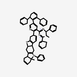 CCC(/N=C(\N=C(/C)C1=CC=CCC1)c1cc(C2=C(C3C=CC=CC3)C=CCC2C2C=CC=CC2)cnc1C1C=CC2=C(C1)SC1CC3=C(CC21)N(c1ccccc1)C1(C)CC=CCC31)c1ccccc1